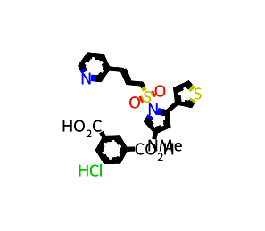 CNc1cc(-c2ccsc2)n(S(=O)(=O)CC=Cc2cccnc2)c1.Cl.O=C(O)c1cccc(C(=O)O)c1